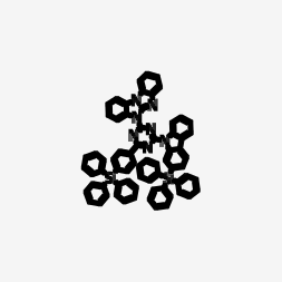 c1ccc([Si](c2ccccc2)(c2ccccc2)c2ccc(-c3nc(-n4c5ccccc5c5ccc([Si](c6ccccc6)(c6ccccc6)c6ccccc6)cc54)nc(-n4c5ccccc5n5c6ccccc6nc45)n3)cc2)cc1